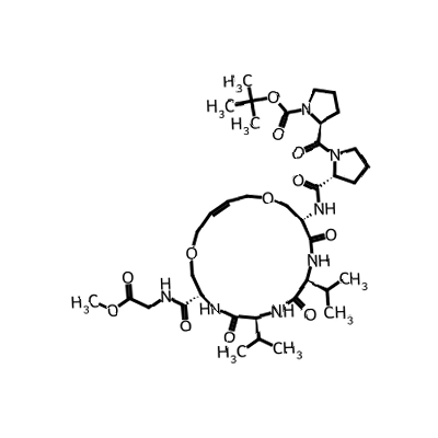 COC(=O)CNC(=O)[C@@H]1COCC=CCOC[C@H](NC(=O)[C@H]2CCCN2C(=O)[C@@H]2CCCN2C(=O)OC(C)(C)C)C(=O)N[C@@H](C(C)C)C(=O)N[C@@H](C(C)C)C(=O)N1